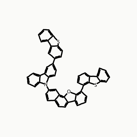 c1ccc2c(c1)sc1ccc(-c3ccc4c(c3)c3ccccc3n4-c3ccc4ccc5c6cccc(-c7cccc8c7sc7ccccc78)c6oc5c4c3)cc12